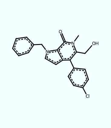 Cn1c(CO)c(-c2ccc(Cl)cc2)c2ccn(Cc3ccccc3)c2c1=O